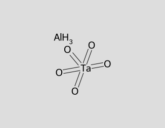 [AlH3].[O]=[Ta](=[O])(=[O])(=[O])=[O]